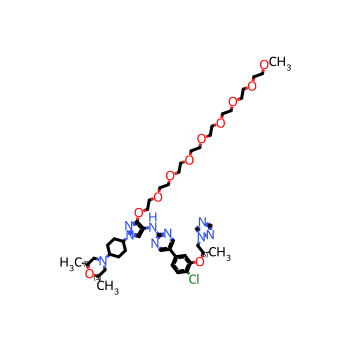 COCCOCCOCCOCCOCCOCCOCCOCCOc1nn(C2CCC(N3C[C@@H](C)O[C@@H](C)C3)CC2)cc1Nc1ncc(-c2ccc(Cl)c(O[C@@H](C)Cn3cncn3)c2)cn1